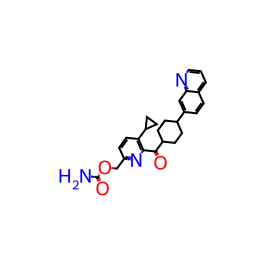 NC(=O)OCc1ccc(C2CC2)c(C(=O)C2CCC(c3ccc4cccnc4c3)CC2)n1